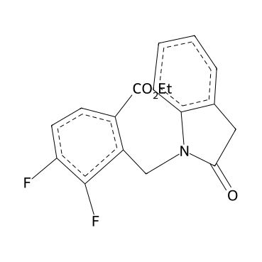 CCOC(=O)c1ccc(F)c(F)c1CN1C(=O)Cc2ccccc21